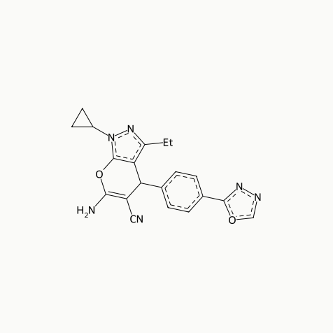 CCc1nn(C2CC2)c2c1C(c1ccc(-c3nnco3)cc1)C(C#N)=C(N)O2